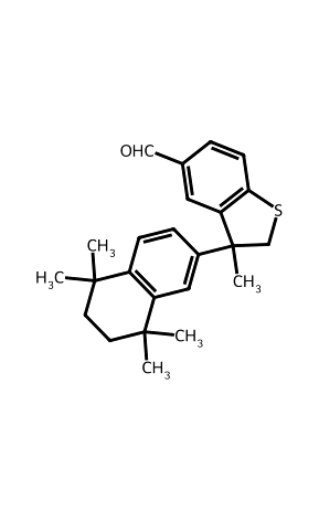 CC1(C)CCC(C)(C)c2cc(C3(C)CSc4ccc(C=O)cc43)ccc21